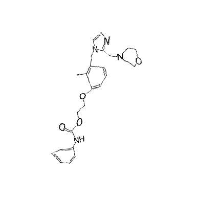 Cc1c(Cn2ccnc2CN2CCOCC2)cccc1OCCOC(=O)Nc1ccccc1